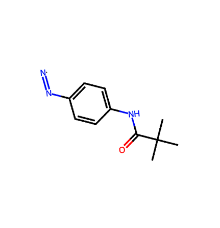 CC(C)(C)C(=O)Nc1ccc(N=[N])cc1